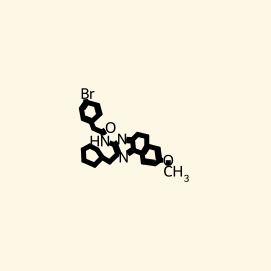 COc1ccc2c(c1)CCc1nc(NC(=O)Cc3ccc(Br)cc3)c(CC3CCCCC3)nc1-2